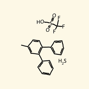 Cc1ccc(-c2ccccc2)c(-c2ccccc2)c1.O=S(=O)(O)C(F)(F)F.S